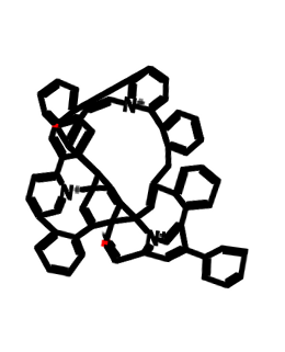 C1=C2c3ccccc3-c3ccc4[n+](c3)C13C1=C5C26c2ccccc2-c2cc(-c7ccccc7)c7c[n+]2C56/C=C(\Cc2ccccc2-c2ccc5c[n+]2/C=C\C=C(\c2ccccc2-5)C13c1ccccc1-4)c1ccccc1-7